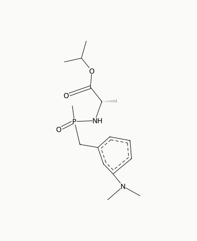 CC(C)OC(=O)[C@H](C)NP(C)(=O)Cc1cccc(N(C)C)c1